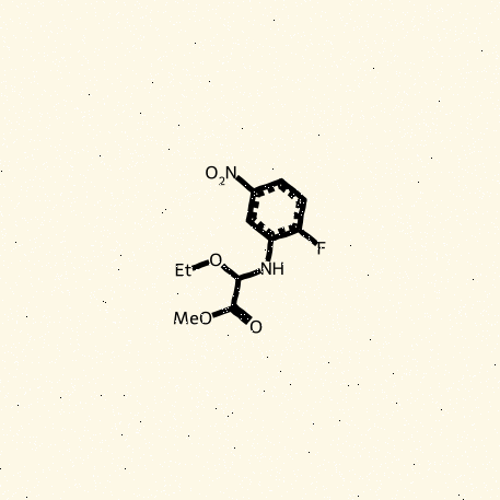 CCOC(Nc1cc([N+](=O)[O-])ccc1F)C(=O)OC